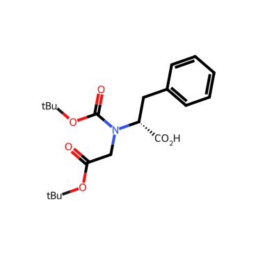 CC(C)(C)OC(=O)CN(C(=O)OC(C)(C)C)[C@H](Cc1ccccc1)C(=O)O